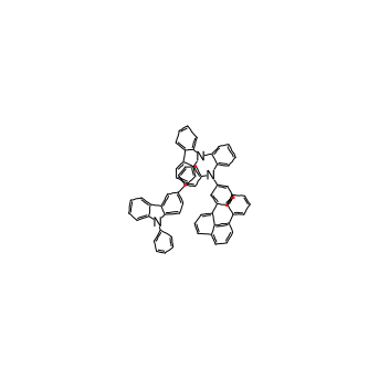 c1ccc(-c2cccc3cccc(-c4cccc(N(c5cccc(-c6ccc7c(c6)c6ccccc6n7-c6ccccc6)c5)c5ccccc5-n5c6ccccc6c6ccccc65)c4)c23)cc1